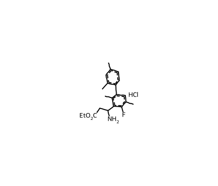 CCOC(=O)CC(N)c1c(C)c(-c2ccc(C)cc2C)cc(C)c1F.Cl